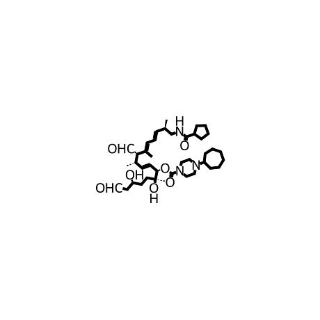 C/C(=C\C=C\[C@@H](C)CNC(=O)C1CCCC1)[C@@H](C=O)[C@@H](C)/C=C/[C@H](OC(=O)N1CCN(C2CCCCCC2)CC1)[C@@](C)(O)CC[C@H](O)CC=O